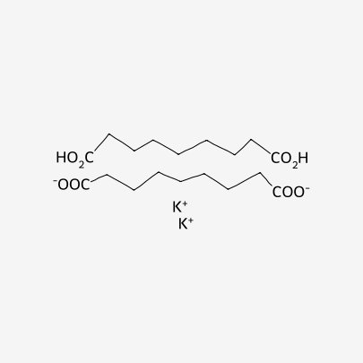 O=C(O)CCCCCCCC(=O)O.O=C([O-])CCCCCCCC(=O)[O-].[K+].[K+]